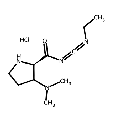 CCN=C=NC(=O)[C@@H]1NCCC1N(C)C.Cl